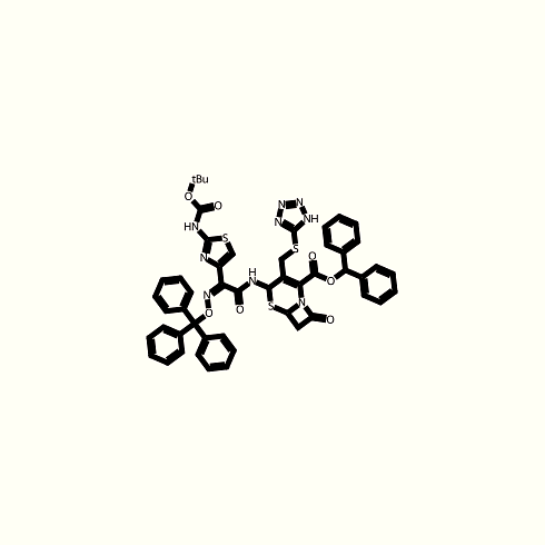 CC(C)(C)OC(=O)Nc1nc(/C(=N/OC(c2ccccc2)(c2ccccc2)c2ccccc2)C(=O)NC2SC3CC(=O)N3C(C(=O)OC(c3ccccc3)c3ccccc3)=C2CSc2nnn[nH]2)cs1